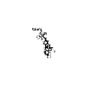 CNCCN1C(=O)S/C(=C\c2ccc3c(cnn3Cc3ccc(Cl)cc3C(F)(F)F)c2)C1=O